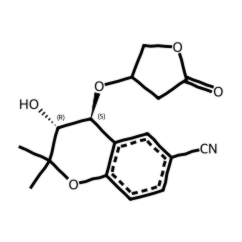 CC1(C)Oc2ccc(C#N)cc2[C@H](OC2COC(=O)C2)[C@H]1O